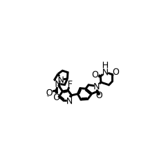 COC(=O)N1CC2CCC(C1)N2Cc1ccnc(-c2ccc3c(c2)CN(C2CCC(=O)NC2=O)C3=O)c1F